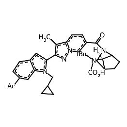 CC(=O)c1ccc2cc(-c3nn4cc(C(=O)N5CC6CCC5[C@@H]6N(C(=O)O)C(C)(C)C)ccc4c3C)n(CC3CC3)c2c1